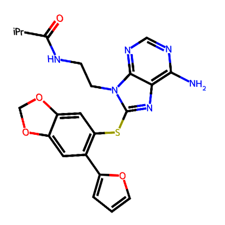 CC(C)C(=O)NCCn1c(Sc2cc3c(cc2-c2ccco2)OCO3)nc2c(N)ncnc21